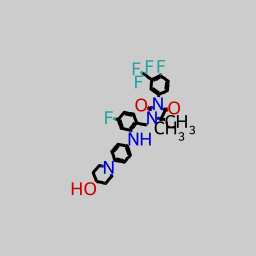 CC1(C)C(=O)N(c2ccc(F)c(C(F)(F)F)c2)C(=O)N1Cc1ccc(F)cc1Nc1ccc(N2CCC(O)CC2)cc1